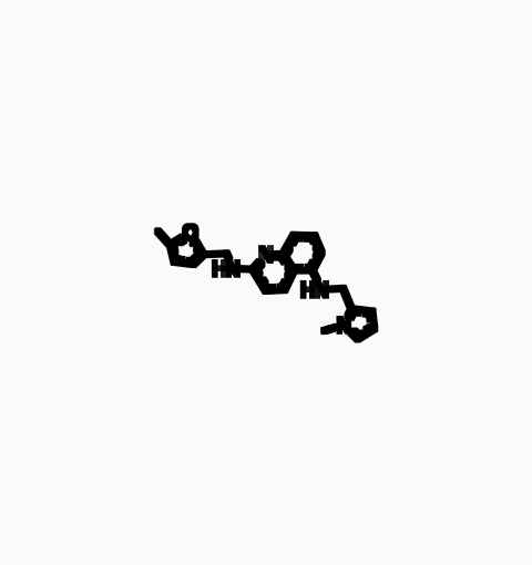 Cc1ccc(CNc2ccc3c(NCc4cccn4C)cccc3n2)o1